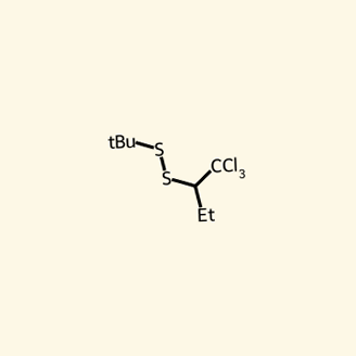 CCC(SSC(C)(C)C)C(Cl)(Cl)Cl